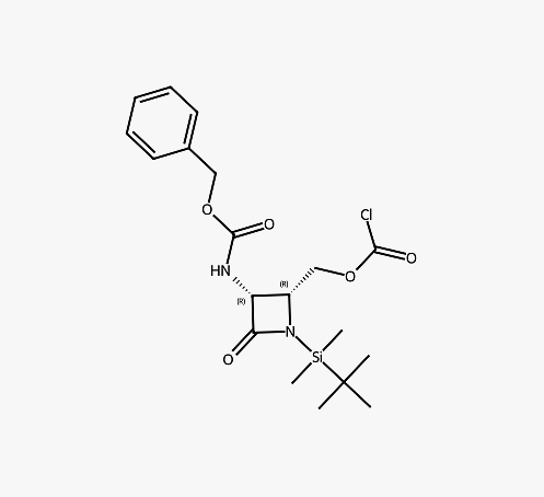 CC(C)(C)[Si](C)(C)N1C(=O)[C@H](NC(=O)OCc2ccccc2)[C@@H]1COC(=O)Cl